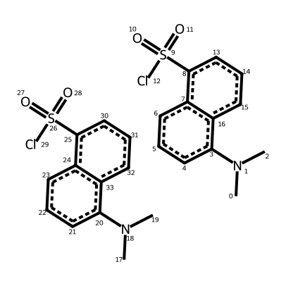 CN(C)c1cccc2c(S(=O)(=O)Cl)cccc12.CN(C)c1cccc2c(S(=O)(=O)Cl)cccc12